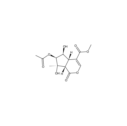 COC(=O)C1=COC(=O)[C@H]2[C@@H]1[C@H](O)[C@H](OC(C)=O)[C@]2(C)O